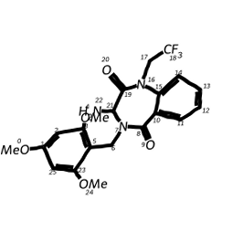 COc1cc(OC)c(CN2C(=O)c3ccccc3N(CC(F)(F)F)C(=O)C2N)c(OC)c1